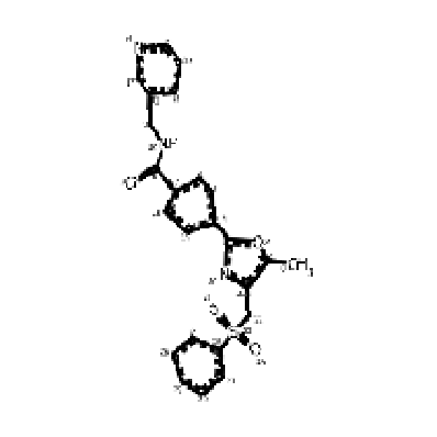 Cc1oc(-c2ccc(C(=O)NCc3cccnc3)cc2)nc1CS(=O)(=O)c1ccccc1